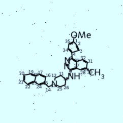 COc1ccc(-c2nnc(NC3CCN(Cc4ccc5ccccc5c4)CC3)c3cc(C)ccc23)cc1